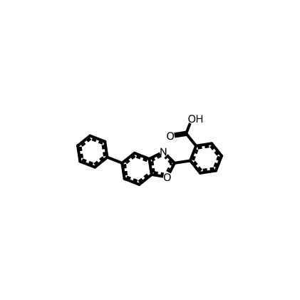 O=C(O)c1ccccc1-c1nc2cc(-c3ccccc3)ccc2o1